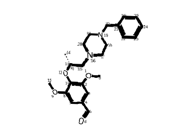 COc1cc(C=O)cc(OC)c1O[C@H](C)CN1CCN(Cc2ccccc2)CC1